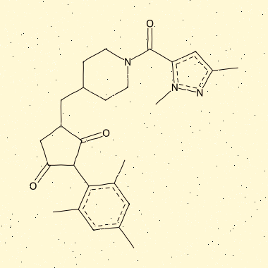 Cc1cc(C)c(C2C(=O)CC(CC3CCN(C(=O)c4cc(C)nn4C)CC3)C2=O)c(C)c1